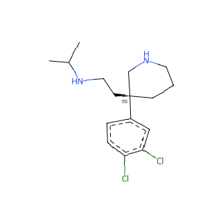 CC(C)NCC[C@]1(c2ccc(Cl)c(Cl)c2)CCCNC1